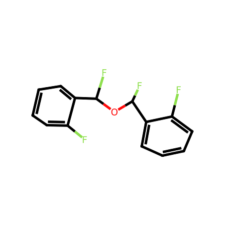 Fc1ccccc1C(F)OC(F)c1ccccc1F